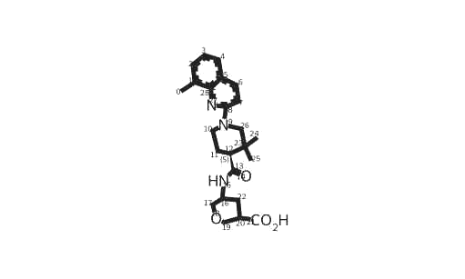 Cc1cccc2ccc(N3CC[C@H](C(=O)NC4COCC(C(=O)O)C4)C(C)(C)C3)nc12